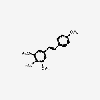 CC(=O)Oc1ccc(C=Cc2cc(OC(C)=O)c(OC(C)=O)c(OC(C)=O)c2)cc1